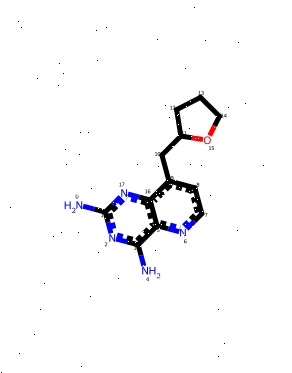 Nc1nc(N)c2nccc(CC3CCCO3)c2n1